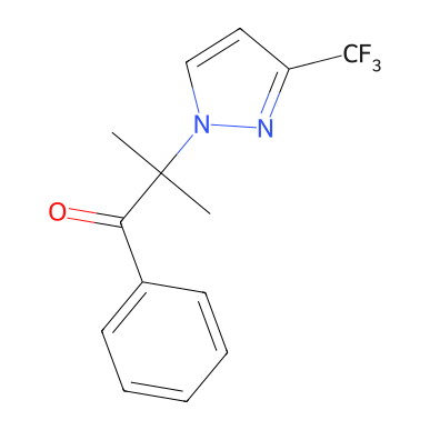 CC(C)(C(=O)c1ccccc1)n1ccc(C(F)(F)F)n1